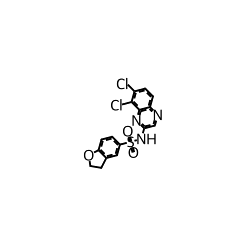 O=S(=O)(Nc1cnc2ccc(Cl)c(Cl)c2n1)c1ccc2c(c1)CCO2